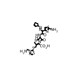 NCN1N=CSC1SCC1=C(C(=O)O)N2C(=O)C(NC(=O)C(=NOC3C=CCC3)c3csc(N)n3)[C@@H]2SC1